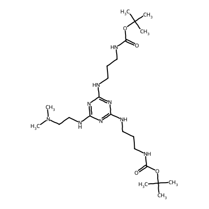 CN(C)CCNc1nc(NCCCNC(=O)OC(C)(C)C)nc(NCCCNC(=O)OC(C)(C)C)n1